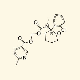 Cc1ccc(C(=O)OCOC(=O)N(C)[C@]2(c3ccccc3Cl)CCCCC2=O)cn1